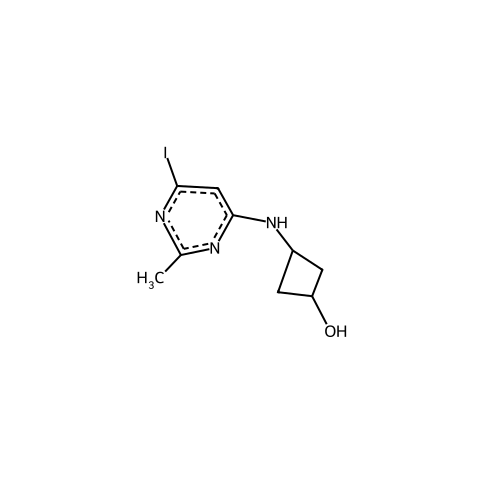 Cc1nc(I)cc(NC2CC(O)C2)n1